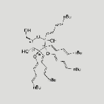 CCCCC=CC=CO[C@@]1(C=CC=CCCCC)[C@H](O)[C@@H](CO)OC(O)(C=CC=CCCCC)[C@]1(C=CC=CCCCC)OC=CC=CCCCC